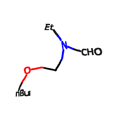 CCCCOCN(C=O)CC